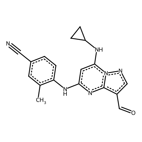 Cc1cc(C#N)ccc1Nc1cc(NC2CC2)n2ncc(C=O)c2n1